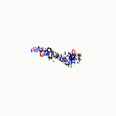 Cn1nc(C2CCC(=O)NC2=O)c2cccc(N3CCC(C(C)(C)N4CCN(c5ncc(Cl)c(Nc6ccc7c(c6)c6c(c(=O)n7C)OCC(F)(F)[C@H](C7CC7)N6)n5)CC4)CC3)c21